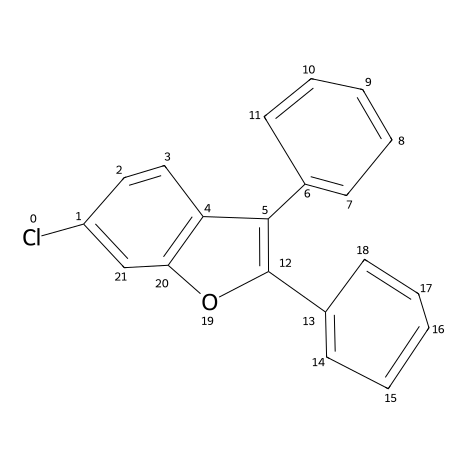 Clc1ccc2c(-c3ccccc3)c(-c3ccccc3)oc2c1